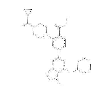 CNC(=O)c1ccc(-c2cc(OC3CCOCC3)c3c(N)n[nH]c3c2)cc1N1CCN(C(=O)C2CC2)CC1